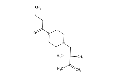 C=C(C)C(C)(C)CN1CCN(C(=O)CCC)CC1